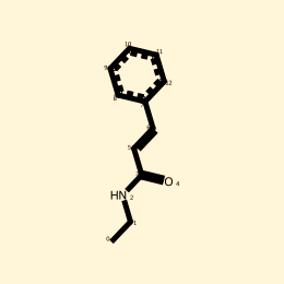 CCNC(=O)C=Cc1[c]cccc1